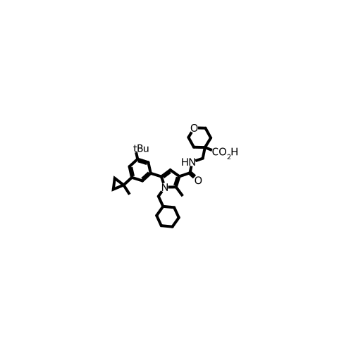 Cc1c(C(=O)NCC2(C(=O)O)CCOCC2)cc(-c2cc(C(C)(C)C)cc(C3(C)CC3)c2)n1CC1CCCCC1